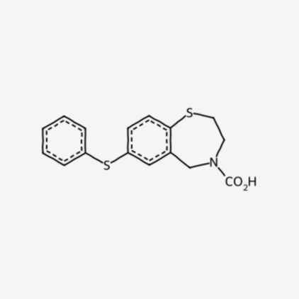 O=C(O)N1CCSc2ccc(Sc3ccccc3)cc2C1